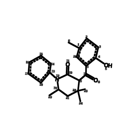 Cc1ccc(O)c(C(=O)C2C(=O)N(c3ccccc3)C(C)CC2(C)C)c1